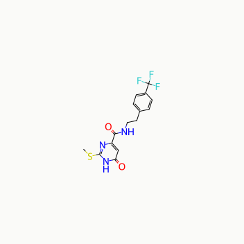 CSc1nc(C(=O)NCCc2ccc(C(F)(F)F)cc2)cc(=O)[nH]1